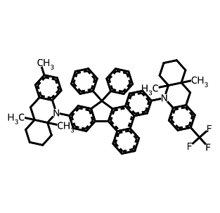 Cc1ccc2c(c1)CC1(C)CCCCC1(C)N2c1ccc2c(c1)C(c1ccccc1)(c1ccccc1)c1c-2c2ccccc2c2cc(N3c4ccc(C(F)(F)F)cc4CC4(C)CCCCC34C)ccc12